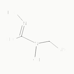 CCCCCN(C)/C(C)=N/C